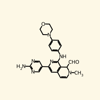 CN1C=Cc2cc(-c3cnc(N)nc3)nc(Nc3ccc(N4CCOCC4)cc3)c2C1C=O